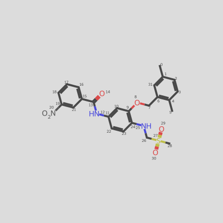 Cc1ccc(C)c(COc2cc(NC(=O)c3cccc([N+](=O)[O-])c3)ccc2NCS(C)(=O)=O)c1